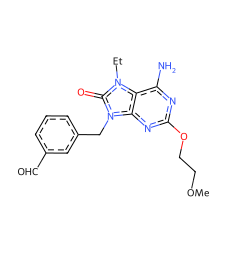 CCn1c(=O)n(Cc2cccc(C=O)c2)c2nc(OCCOC)nc(N)c21